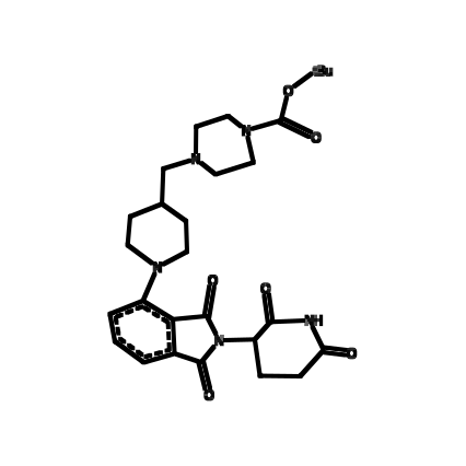 CC(C)(C)OC(=O)N1CCN(CC2CCN(c3cccc4c3C(=O)N(C3CCC(=O)NC3=O)C4=O)CC2)CC1